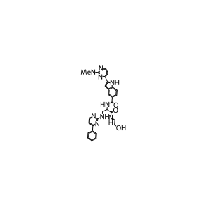 CNc1nccc(-c2cc3cc(C(=O)NC(CNc4nccc(-c5ccccc5)n4)C(=O)NCCO)ccc3[nH]2)n1